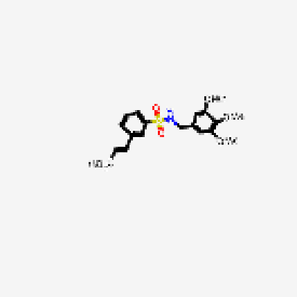 COc1cc(CNS(=O)(=O)c2cccc(C=CC(=O)O)c2)cc(OC)c1OC